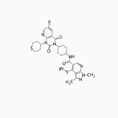 Cc1nn(C)c2ncc(C(=O)NC3CCC(n4c(=O)c5cc(F)cnc5n(C5CCSCC5)c4=O)CC3)c(SC(C)C)c12